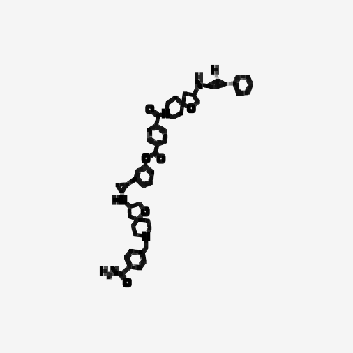 NC(=O)c1ccc(CN2CCC3(CC2)CC(N[C@@H]2C[C@H]2c2cccc(OC(=O)c4ccc(C(=O)N5CCC6(CC5)CC(NC5C7[C@@H]5[C@@H]7c5ccccc5)CO6)cc4)c2)CO3)cc1